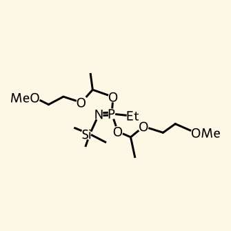 CCP(=N[Si](C)(C)C)(OC(C)OCCOC)OC(C)OCCOC